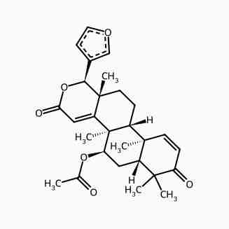 CC(=O)O[C@@H]1C[C@H]2C(C)(C)C(=O)C=C[C@]2(C)[C@H]2CC[C@]3(C)C(=CC(=O)O[C@H]3c3ccoc3)[C@@]21C